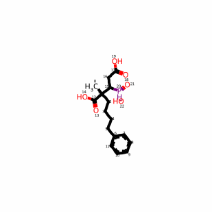 CC(CCCCc1ccccc1)(C(=O)O)C(CC(=O)O)[PH](=O)O